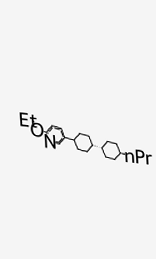 CCC[C@H]1CC[C@H](C2CCC(c3ccc(OCC)nc3)CC2)CC1